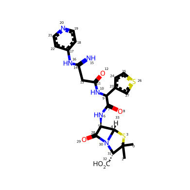 CC1(C)S[C@@H]2[C@H](NC(=O)C(NC(=O)CC(=N)Nc3ccncc3)c3ccsc3)C(=O)N2[C@H]1C(=O)O